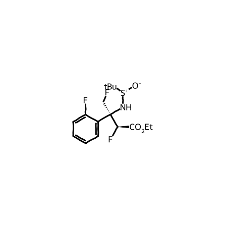 CCOC(=O)[C@@H](F)[C@](CF)(N[S+]([O-])C(C)(C)C)c1ccccc1F